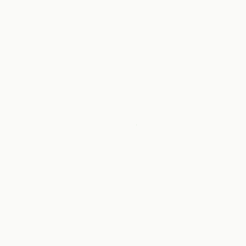 C=C/C=C\C(C)Cl